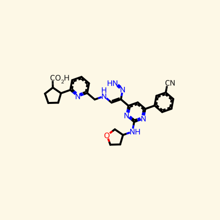 N#Cc1cccc(-c2cc(/C(=C/NCc3cccc(C4CCCC4C(=O)O)n3)N=N)nc(NC3CCOC3)n2)c1